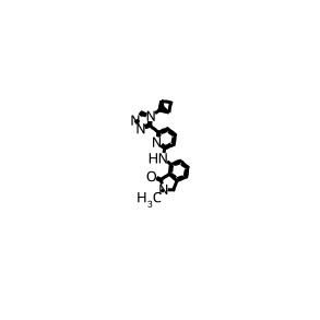 CN1Cc2cccc(Nc3cccc(-c4nncn4C4C5CC4C5)n3)c2C1=O